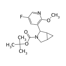 COc1ncc(F)cc1C1C2CC2CN1C(=O)OC(C)(C)C